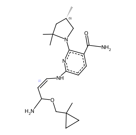 C[C@@H]1CN(c2nc(N/C=C\C(N)OCC3(C)CC3)ccc2C(N)=O)C(C)(C)C1